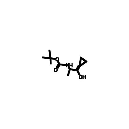 CC(NC(=O)OC(C)(C)C)C(O)=C1CC1